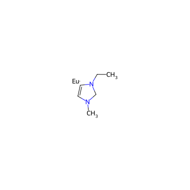 CCN1C=CN(C)C1.[Eu]